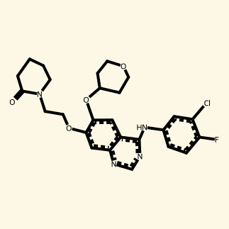 O=C1CCCCN1CCOc1cc2ncnc(Nc3ccc(F)c(Cl)c3)c2cc1OC1CCOCC1